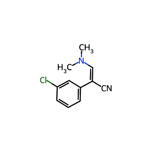 CN(C)/C=C(/C#N)c1cccc(Cl)c1